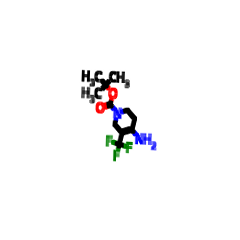 CC(C)(C)OC(=O)N1CCC(N)=C(C(F)(F)F)C1